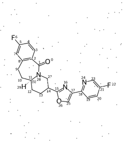 O=C1c2ccc(F)cc2CC[C@@H]2CCC(c3nc(-c4ccc(F)cn4)co3)CN12